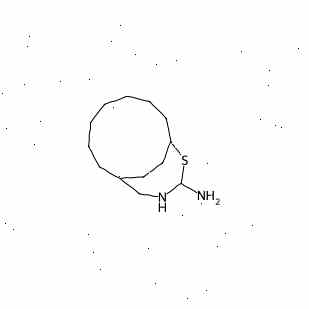 NC1NCC2CCCCCCCC(CC2)S1